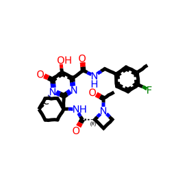 CC(=O)N1CC[C@@H]1C(=O)NC12CCC(CC1)Cn1c2nc(C(=O)NCc2ccc(F)c(C)c2)c(O)c1=O